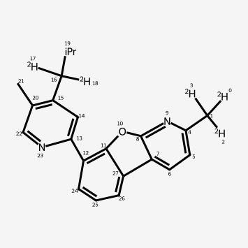 [2H]C([2H])([2H])c1ccc2c(n1)oc1c(-c3cc(C([2H])([2H])C(C)C)c(C)cn3)cccc12